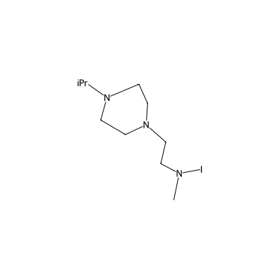 CC(C)N1CCN(CCN(C)I)CC1